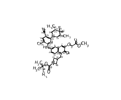 COC(=O)COc1cc2cc(Nc3nc(N4C[C@@H](C)C(F)(F)[C@@H](C)C4)c(C#N)cc3Cl)ccc2n(CC2CN(C(=O)OC(C)(C)C)C2)c1=O